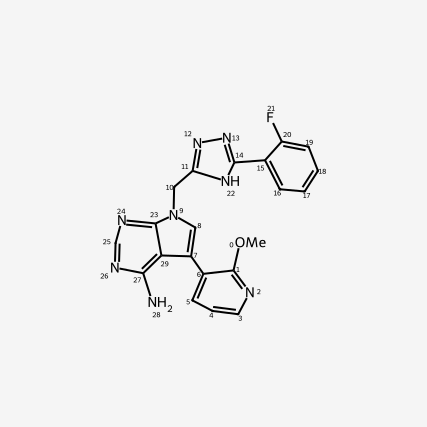 COc1ncccc1-c1cn(Cc2nnc(-c3ccccc3F)[nH]2)c2ncnc(N)c12